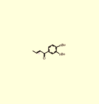 C/C=C/C(=O)c1ccc(CCCC)c(CCCC)c1